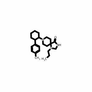 CCCN1CNC(=O)C12CCN(C1CCCCC1c1ccc(C)cc1)CC2